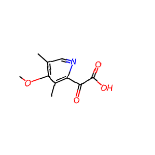 COc1c(C)cnc(C(=O)C(=O)O)c1C